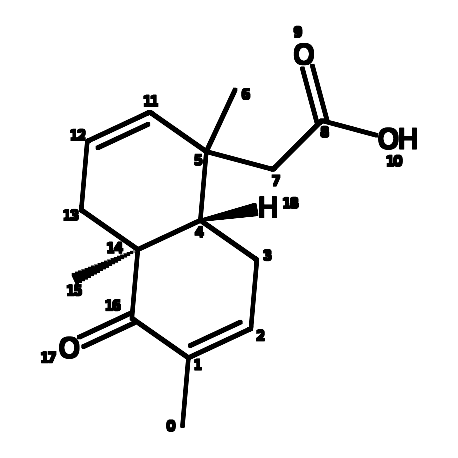 CC1=CC[C@H]2C(C)(CC(=O)O)C=CC[C@]2(C)C1=O